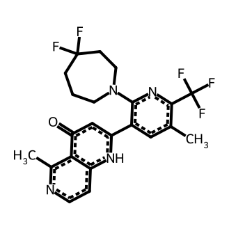 Cc1cc(-c2cc(=O)c3c(C)nccc3[nH]2)c(N2CCCC(F)(F)CC2)nc1C(F)(F)F